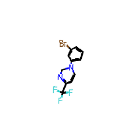 FC(F)(F)C1=NCN(c2cccc(Br)c2)C=C1